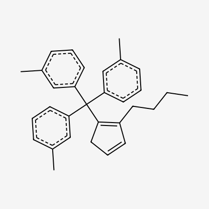 CCCCC1=C(C(c2cccc(C)c2)(c2cccc(C)c2)c2cccc(C)c2)CC=C1